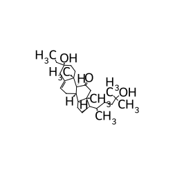 CC[C@]1(O)CC[C@@]2(C)C(=CC[C@H]3[C@@H]4CC[C@H]([C@H](C)CCC(C)(C)O)[C@@]4(C)CC(=O)[C@@H]32)C1